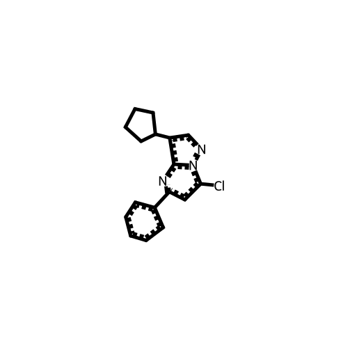 Clc1cc(-c2ccccc2)nc2c(C3CCCC3)cnn12